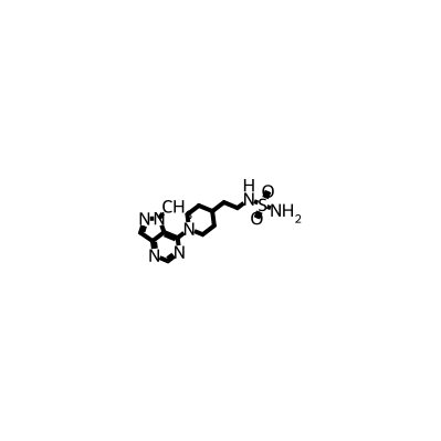 Cn1ncc2ncnc(N3CCC(CCNS(N)(=O)=O)CC3)c21